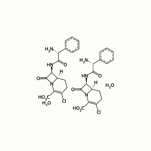 N[C@@H](C(=O)N[C@@H]1C(=O)N2C(C(=O)O)=C(Cl)CC[C@H]12)c1ccccc1.N[C@@H](C(=O)N[C@@H]1C(=O)N2C(C(=O)O)=C(Cl)CC[C@H]12)c1ccccc1.O.O